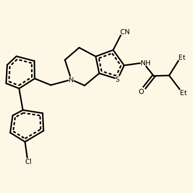 CCC(CC)C(=O)Nc1sc2c(c1C#N)CCN(Cc1ccccc1-c1ccc(Cl)cc1)C2